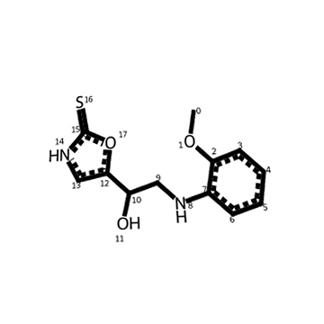 COc1ccccc1NCC(O)c1c[nH]c(=S)o1